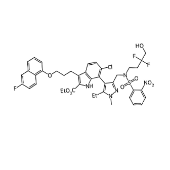 CCOC(=O)c1[nH]c2c(-c3c(CN(CCC(F)(F)CO)S(=O)(=O)c4ccccc4[N+](=O)[O-])nn(C)c3CC)c(Cl)ccc2c1CCCOc1cccc2cc(F)ccc12